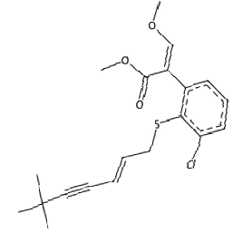 COC=C(C(=O)OC)c1cccc(Cl)c1SCC=CC#CC(C)(C)C